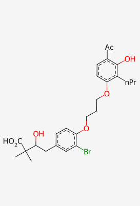 CCCc1c(OCCCOc2ccc(CC(O)C(C)(C)C(=O)O)cc2Br)ccc(C(C)=O)c1O